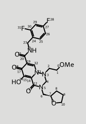 COCCN1CN(C[C@H]2CCCO2)C(=O)c2c(O)c(=O)c(C(=O)NCc3ccc(F)cc3F)cn21